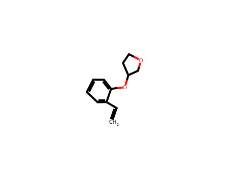 C=Cc1ccccc1OC1CCOC1